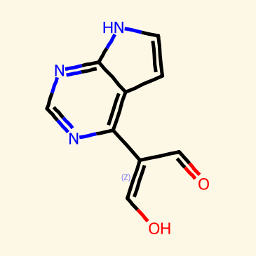 O=C/C(=C\O)c1ncnc2[nH]ccc12